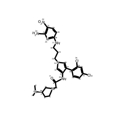 CN(C)[C@@H]1CCN(CC(=O)Nc2cn(CCCNc3ccc([N+](=O)[O-])c(N)n3)cc2-c2ccc(Cl)cc2Cl)C1